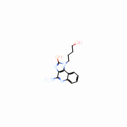 Nc1nc2ccccc2c2c1nc(O)n2CCCCO